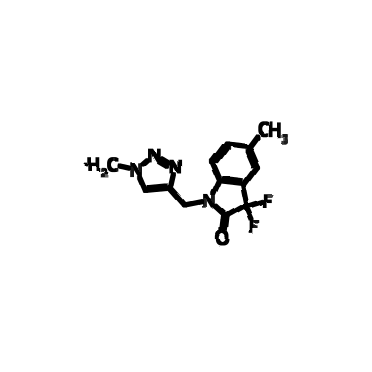 [CH2]n1cc(CN2C(=O)C(F)(F)c3cc(C)ccc32)nn1